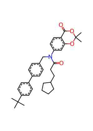 CC1(C)OC(=O)c2ccc(N(Cc3ccc(-c4ccc(C(C)(C)C)cc4)cc3)C(=O)CCC3CCCC3)cc2O1